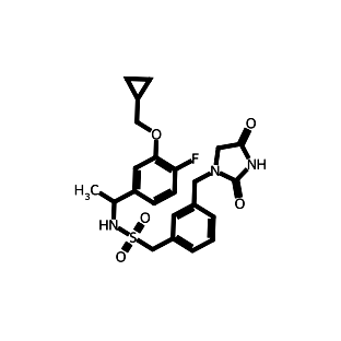 CC(NS(=O)(=O)Cc1cccc(CN2CC(=O)NC2=O)c1)c1ccc(F)c(OCC2CC2)c1